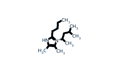 CCCCc1[nH]c(C)c(C)[n+]1C(C)CC(C)C